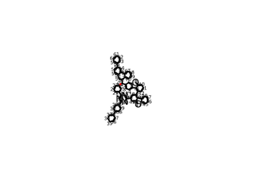 CC(c1ccc2c(c1)oc1cccc(-c3cc(-c4nc(-c5ccccc5)nc(-c5ccc(C6=CCCC=C6)cc5)n4)cc4oc5ccccc5c34)c12)C1Cc2ccc(-c3ccccc3)cc2-c2ccccc21